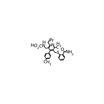 Cc1ccc(-c2c(CSc3ccccc3C(N)=O)c(C)nc(CC(C)C)c2CNC(=O)O)cc1